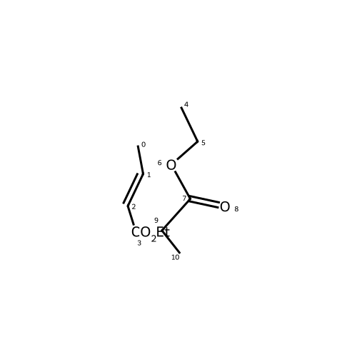 C/C=C/C(=O)OCC.CCOC(=O)CC